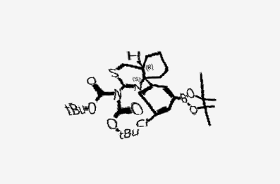 CC(C)(C)OC(=O)N(C(=O)OC(C)(C)C)C1=N[C@@]2(c3cc(Cl)cc(B4OC(C)(C)C(C)(C)O4)c3)CCCC[C@H]2CS1